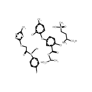 CC(C)N(C(=O)COc1nnc(C(F)(F)F)s1)c1ccc(F)cc1.CP(=O)(O)CCC(N)C(=O)O.C[C@H](OC(=O)c1cc(Oc2ccc(C(F)(F)F)cc2Cl)ccc1Cl)C(=O)O